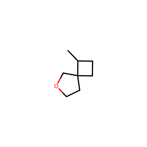 CC1CCC12CCOC2